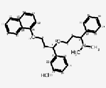 CN(C)C(CCO[C@H](CCOc1cccc2ccccc12)c1ccccc1)c1ccccc1.Cl